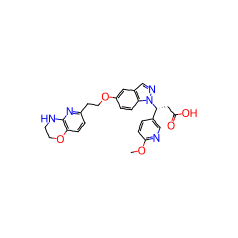 COc1ccc([C@@H](CC(=O)O)n2ncc3cc(OCCc4ccc5c(n4)NCCO5)ccc32)cn1